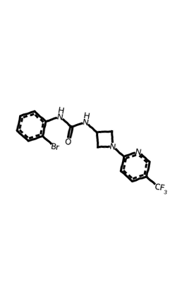 O=C(Nc1ccccc1Br)NC1CN(c2ccc(C(F)(F)F)cn2)C1